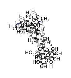 C/C=C(/C)C(=O)OC(C)C(C)C(=O)O[C@H]1[C@H](OC(=O)/C(C)=C\C)C(C)(C)CC2C3=CCC4[C@@]5(C)CC[C@H](O[C@@H]6OC(C(=O)O)[C@@H](O)[C@@H](O[C@@H]7OC[C@@H](O)[C@@H](O)C7O)C6O[C@@H]6OC(CO)[C@H](O)[C@@H](O)C6O)C(C)(C)C5CC[C@@]4(C)[C@]3(C)[C@@H](O)[C@@H](O)[C@]21CO